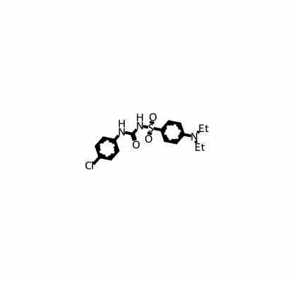 CCN(CC)c1ccc(S(=O)(=O)NC(=O)Nc2ccc(Cl)cc2)cc1